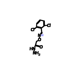 NNC(=O)CO/N=C/c1c(Cl)cccc1Cl